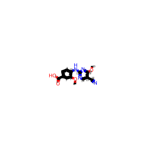 COc1cc(C(=O)O)ccc1Nc1ncc(C#N)c(OC)n1